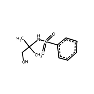 CC(C)(CO)NS(=O)(=O)c1ccccc1